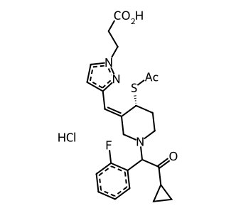 CC(=O)S[C@@H]1CCN(C(C(=O)C2CC2)c2ccccc2F)CC1=Cc1ccn(CCC(=O)O)n1.Cl